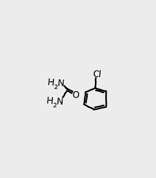 Clc1ccccc1.NC(N)=O